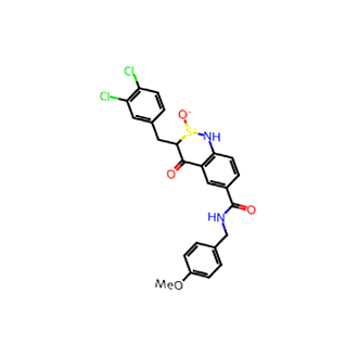 COc1ccc(CNC(=O)c2ccc3c(c2)C(=O)C(Cc2ccc(Cl)c(Cl)c2)[S+]([O-])N3)cc1